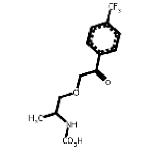 CC(COCC(=O)c1ccc(C(F)(F)F)cc1)NC(=O)O